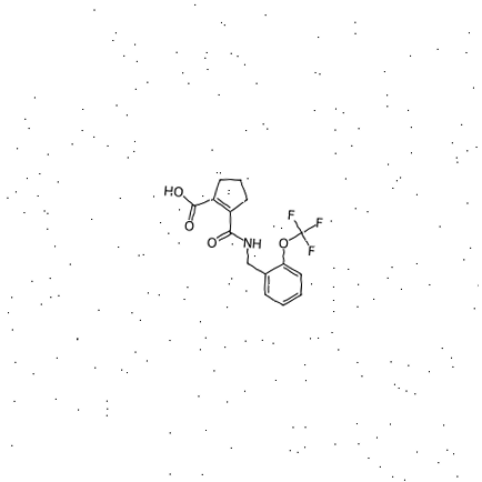 O=C(O)C1=C(C(=O)NCc2ccccc2OC(F)(F)F)CCC1